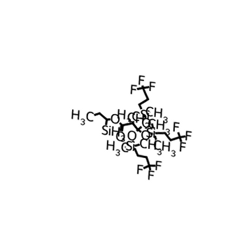 C=C(C(=O)OC([SiH3])CC)C(O[Si](C)(C)CCC(F)(F)F)(O[Si](C)(C)CCC(F)(F)F)O[Si](C)(C)CCC(F)(F)F